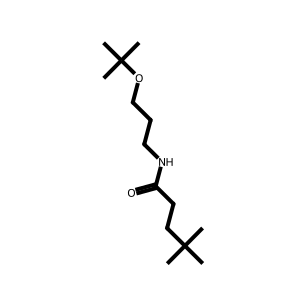 CC(C)(C)CCC(=O)NCCCOC(C)(C)C